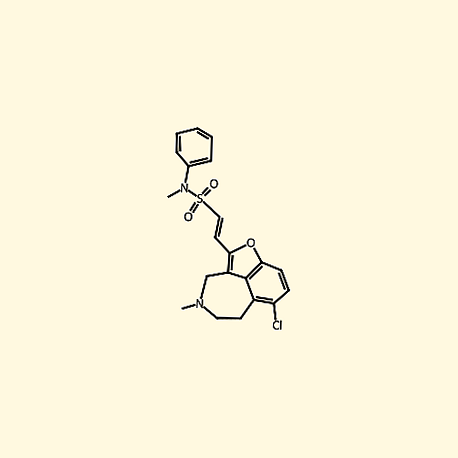 CN1CCc2c(Cl)ccc3oc(C=CS(=O)(=O)N(C)c4ccccc4)c(c23)C1